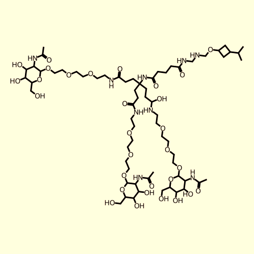 CC(=O)NC1C(OCCOCCOCCNC(=O)CCC(CCC(=O)NCCOCCOCCOC2OC(CO)C(O)C(O)C2NC(C)=O)(CCC(O)NCCOCCOCCOC2OC(CO)C(O)C(O)C2NC(C)=O)NC(=O)CCCC(=O)NCNCOC2CC(C(C)C)C2)OC(CO)C(O)C1O